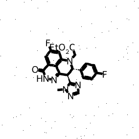 CCOC(=O)CN1c2cc(F)cc3c(=O)[nH]nc(c23)[C@H](c2ncnn2C)[C@H]1c1ccc(F)cc1